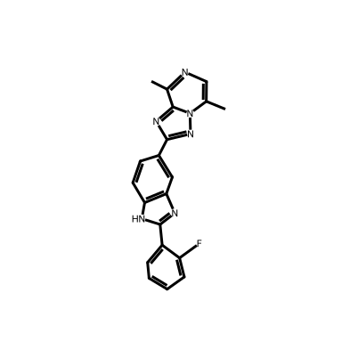 Cc1ncc(C)n2nc(-c3ccc4[nH]c(-c5ccccc5F)nc4c3)nc12